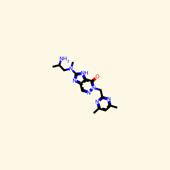 Cc1cc(C)nc(Cn2ncc3nc(N(C)CC(C)N)[nH]c3c2=O)n1